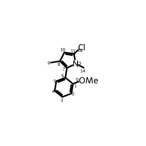 COc1ccccc1-c1c(C)cc(Cl)n1C